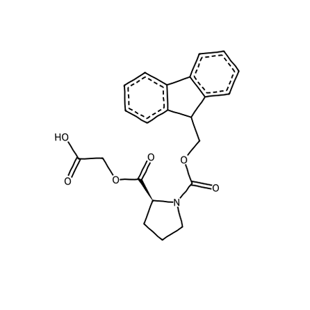 O=C(O)COC(=O)[C@@H]1CCCN1C(=O)OCC1c2ccccc2-c2ccccc21